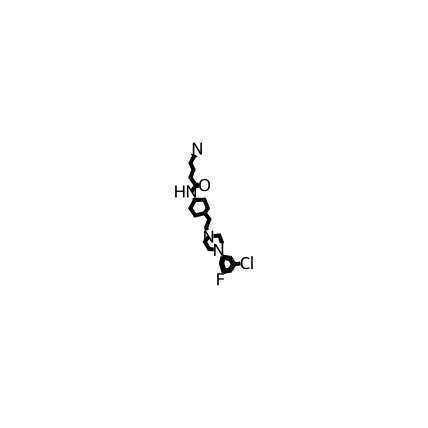 N#CCCCC(=O)NC1CCC(CCN2CCN(c3cc(F)cc(Cl)c3)CC2)CC1